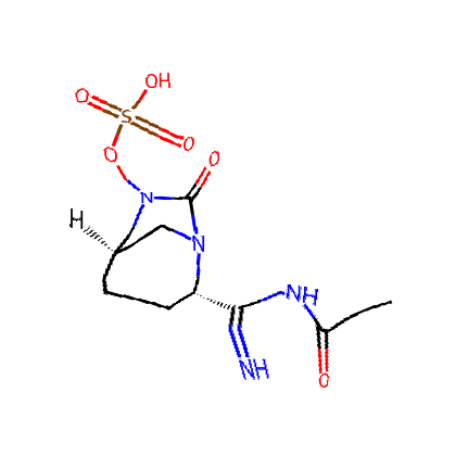 CC(=O)NC(=N)[C@@H]1CC[C@@H]2CN1C(=O)N2OS(=O)(=O)O